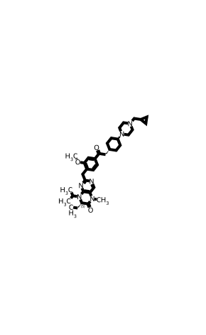 CC[C@H]1C(=O)N(C)c2cnc(Cc3ccc(C(=O)C[C@H]4CC[C@H](N5CCN(CC6CC6)CC5)CC4)cc3OC)nc2N1C(C)C